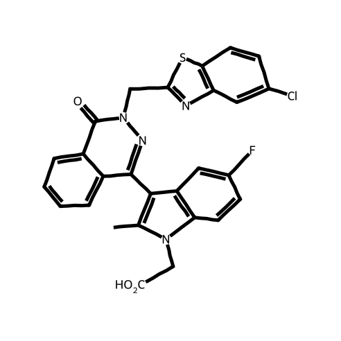 Cc1c(-c2nn(Cc3nc4cc(Cl)ccc4s3)c(=O)c3ccccc23)c2cc(F)ccc2n1CC(=O)O